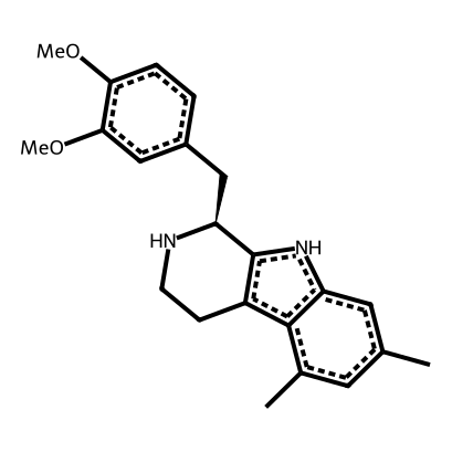 COc1ccc(C[C@@H]2NCCc3c2[nH]c2cc(C)cc(C)c32)cc1OC